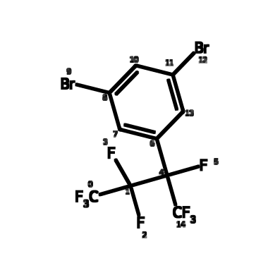 FC(F)(F)C(F)(F)C(F)(c1cc(Br)cc(Br)c1)C(F)(F)F